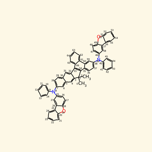 CC1(C)c2cc3cc(N(c4ccccc4)c4ccc5oc6ccccc6c5c4)ccc3cc2-c2c1c1ccc(N(c3ccccc3)c3ccc4oc5ccccc5c4c3)cc1c1ccccc21